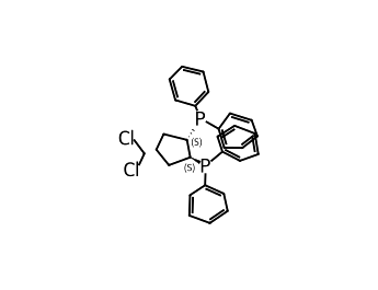 ClCCl.c1ccc(P(c2ccccc2)[C@H]2CCC[C@@H]2P(c2ccccc2)c2ccccc2)cc1